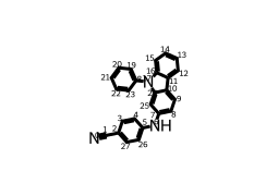 N#Cc1ccc(Nc2ccc3c4ccccc4n(-c4ccccc4)c3c2)cc1